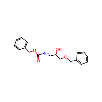 O=C(NCC(O)COCc1ccccc1)OCc1ccccc1